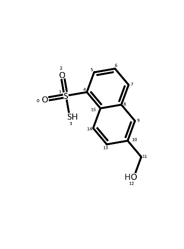 O=S(=O)(S)c1cccc2cc(CO)ccc12